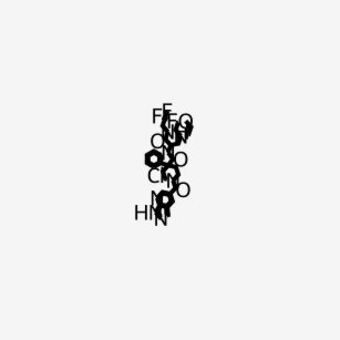 O=C(NCC(F)(F)F)C(CN1CCOCC1)N1C(=O)C2(CCN(C(=O)c3cnc4[nH]ncc4c3)CC2)c2c(Cl)cccc21